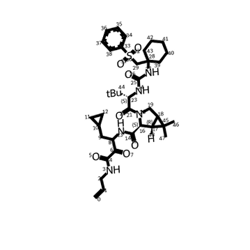 C=CCNC(=O)C(=O)C(CC1CC1)NC(=O)[C@@H]1[C@@H]2C(CN1C(=O)[C@@H](NC(=O)NC1(CS(=O)(=O)c3ccccc3)CCCCC1)C(C)(C)C)C2(C)C